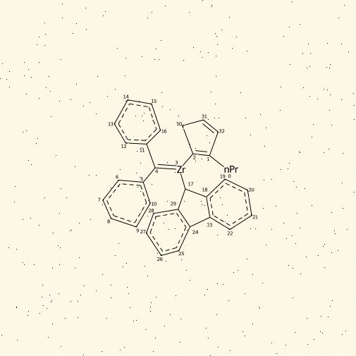 CCCC1=[C]([Zr](=[C](c2ccccc2)c2ccccc2)[CH]2c3ccccc3-c3ccccc32)CC=C1